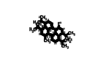 C=C(C)c1ccc2c3c(F)cc(C(=C)C)c4c(C(=C)C)ccc(c5c(C)cc(C(=C)C)c1c25)c43